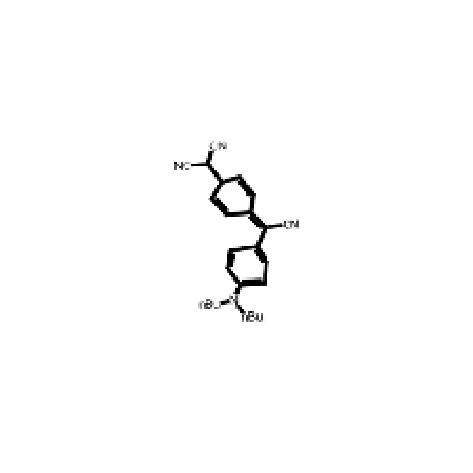 CCCCN(CCCC)c1ccc(C(C#N)=C2C=CC(C(C#N)C#N)C=C2)cc1